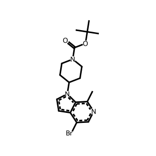 Cc1ncc(Br)c2ccn(C3CCN(C(=O)OC(C)(C)C)CC3)c12